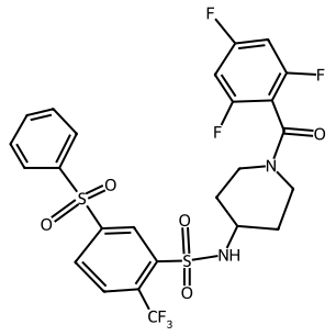 O=C(c1c(F)cc(F)cc1F)N1CCC(NS(=O)(=O)c2cc(S(=O)(=O)c3ccccc3)ccc2C(F)(F)F)CC1